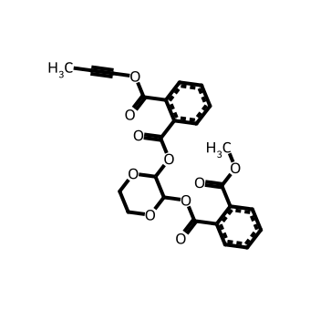 CC#COC(=O)c1ccccc1C(=O)OC1OCCOC1OC(=O)c1ccccc1C(=O)OC